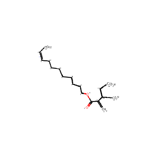 C=C(C(=O)OCCCCCCCC/C=C\CCCCCCCC)C(CC(=O)O)C(=O)O